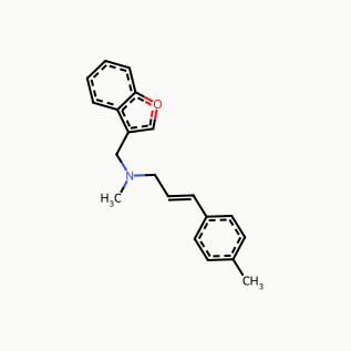 Cc1ccc(/C=C/CN(C)Cc2coc3ccccc23)cc1